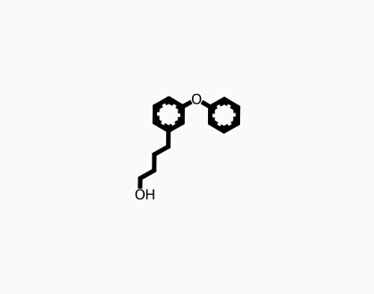 OCCCCc1cccc(Oc2ccccc2)c1